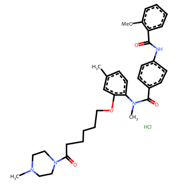 COc1ccccc1C(=O)Nc1ccc(C(=O)N(C)c2ccc(C)cc2OCCCCCC(=O)N2CCN(C)CC2)cc1.Cl